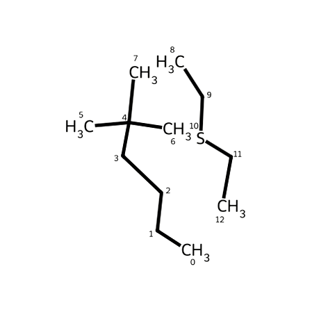 CCCCC(C)(C)C.CCSCC